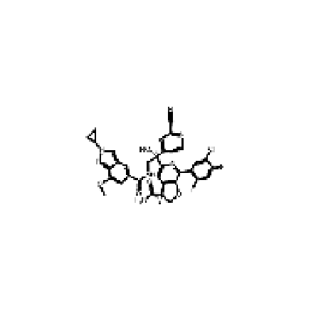 COc1cc(C(=O)NC[C@@](O)(c2ccnc(C#N)c2)c2cc3c(c(-c4cc(Cl)c(F)cc4F)n2)OC[C@]3(C)C(N)=O)cc2cn(C3CC3)nc12